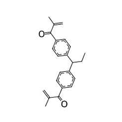 C=C(C)C(=O)c1ccc(C(CC)c2ccc(C(=O)C(=C)C)cc2)cc1